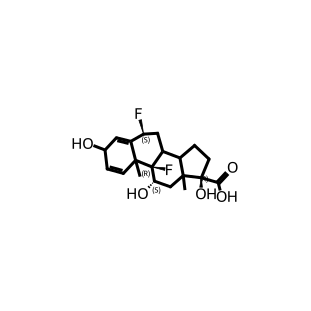 CC12C[C@H](O)[C@@]3(F)C(C[C@H](F)C4=CC(O)C=CC43C)C1CC[C@]2(O)C(=O)O